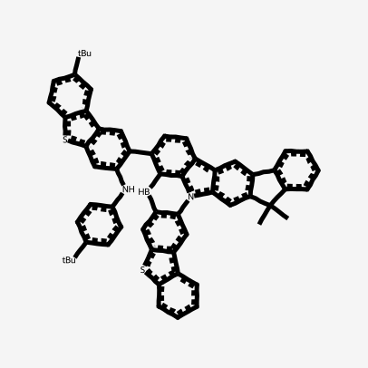 CC(C)(C)c1ccc(Nc2cc3sc4ccc(C(C)(C)C)cc4c3cc2-c2ccc3c4cc5c(cc4n4c3c2Bc2cc3sc6ccccc6c3cc2-4)C(C)(C)c2ccccc2-5)cc1